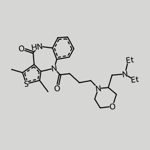 CCN(CC)CC1COCCN1CCCC(=O)N1c2ccccc2NC(=O)c2c(C)sc(C)c21